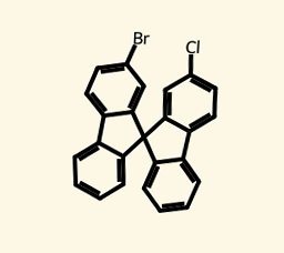 Clc1ccc2c(c1)C1(c3ccccc3-2)c2ccccc2-c2ccc(Br)cc21